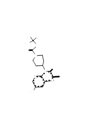 Cc1cnc2c(c1)[nH]c(=O)c(=O)n2C1CCN(C(=O)OC(C)(C)C)CC1